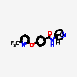 O=C(N[C@H]1CN2CCC1CC2)c1ccc(Oc2cccc(C(F)(F)F)n2)cc1